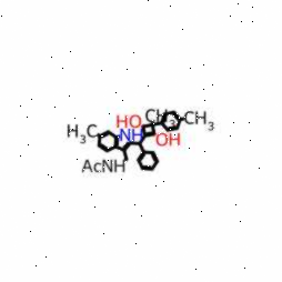 CC(=O)NCc1c(C(C2=C(O)C(C)(c3ccc(C)cc3)C2O)c2ccccc2)[nH]c2cc(C)ccc12